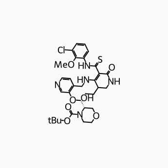 COc1c(Cl)cccc1NC(=S)C1=C(NCc2ccncc2OC[C@@H]2COCCN2C(=O)OC(C)(C)C)C(CCO)CNC1=O